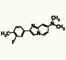 Cc1ccc(-c2cn3ccc(N(C)C)cc3n2)cc1F